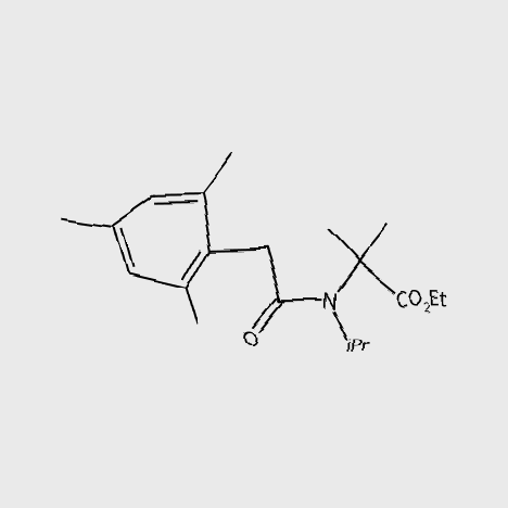 CCOC(=O)C(C)(C)N(C(=O)Cc1c(C)cc(C)cc1C)C(C)C